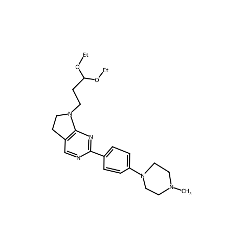 CCOC(CCN1CCc2cnc(-c3ccc(N4CCN(C)CC4)cc3)nc21)OCC